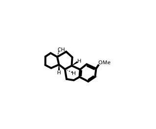 COc1[c]cc2c(c1)[C@H]1CC[C@]3(C)CCCC[C@H]3[C@@H]1CC2